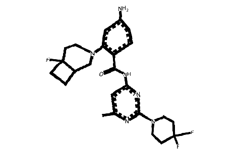 Cc1cc(NC(=O)c2ccc(N)cc2N2CCC3(F)CCC3C2)nc(N2CCC(F)(F)CC2)n1